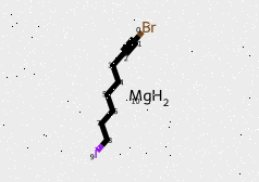 BrC#CCCCCCCI.[MgH2]